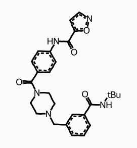 CC(C)(C)NC(=O)c1cccc(CN2CCN(C(=O)c3ccc(NC(=O)c4ccno4)cc3)CC2)c1